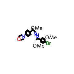 COc1cc(/C(C)=N/N=C/C(OC)c2ccc(N3CCOCC3)cc2)cc(OC)c1Br